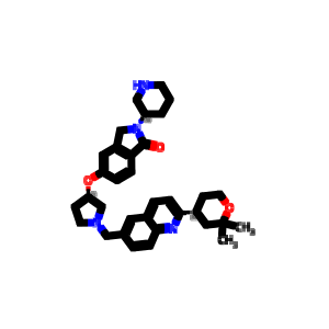 CC1(C)C[C@H](c2ccc3cc(CN4CC[C@H](Oc5ccc6c(c5)CN([C@H]5CCCNC5)C6=O)C4)ccc3n2)CCO1